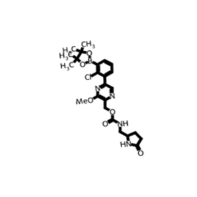 COc1nc(-c2cccc(B3OC(C)(C)C(C)(C)O3)c2Cl)cnc1COC(=O)NCC1CCC(=O)N1